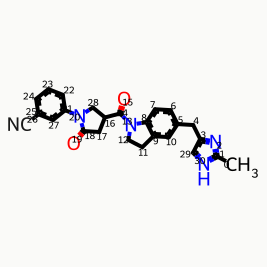 Cc1nc(Cc2ccc3c(c2)CCN3C(=O)C2CC(=O)N(c3cccc(C#N)c3)C2)c[nH]1